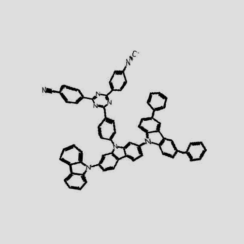 [C-]#[N+]c1ccc(-c2nc(-c3ccc(C#N)cc3)nc(-c3ccc(-n4c5cc(-n6c7ccccc7c7ccccc76)ccc5c5ccc(-n6c7ccc(-c8ccccc8)cc7c7cc(-c8ccccc8)ccc76)cc54)cc3)n2)cc1